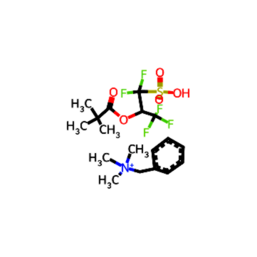 CC(C)(C)C(=O)OC(C(F)(F)F)C(F)(F)S(=O)(=O)O.C[N+](C)(C)Cc1ccccc1